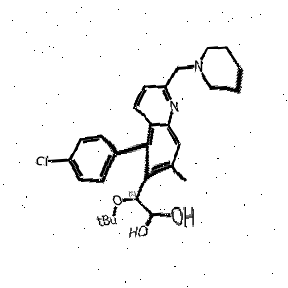 Cc1cc2nc(CN3CCCCC3)ccc2c(-c2ccc(Cl)cc2)c1[C@H](OC(C)(C)C)C(O)O